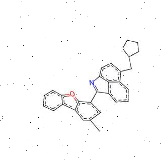 Cc1cc(C2=Nc3ccc(CC4CCCC4)c4cccc2c34)c2oc3ccccc3c2c1